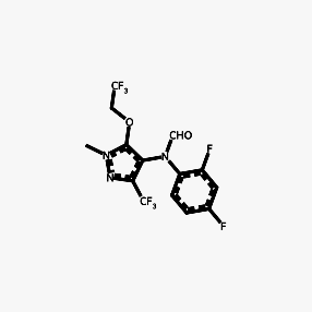 Cn1nc(C(F)(F)F)c(N(C=O)c2ccc(F)cc2F)c1OCC(F)(F)F